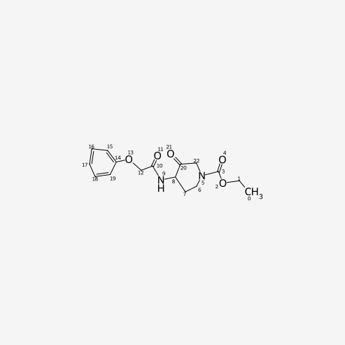 CCOC(=O)N1CCC(NC(=O)COc2ccccc2)C(=O)C1